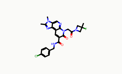 Cc1nc2c3cc(C(=O)NCc4ccc(Cl)cc4)c(=O)n(CC(=O)N4CC(C)(F)C4)c3ncc2n1C